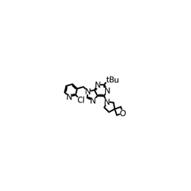 CC(C)(C)c1nc(N2CCC3(COC3)C2)c2ncn(Cc3cccnc3Cl)c2n1